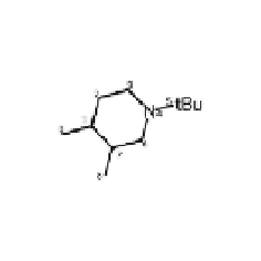 CC1CCN(C(C)(C)C)CC1C